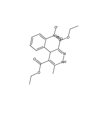 CCOC(=O)C1=NNC(C)=C(C(=O)OCC)C1c1ccccc1[N+](=O)[O-]